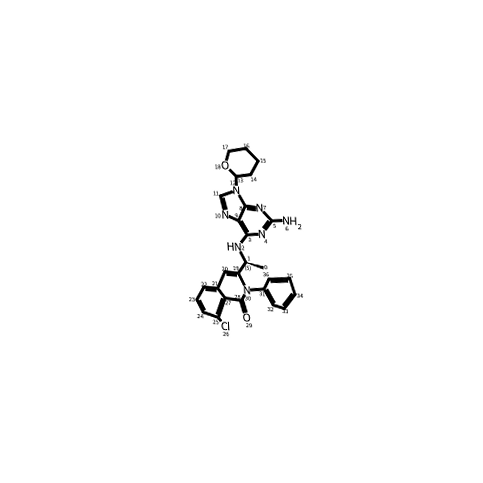 C[C@H](Nc1nc(N)nc2c1ncn2C1CCCCO1)c1cc2cccc(Cl)c2c(=O)n1-c1ccccc1